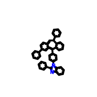 C1=c2ccc(-c3ccccc3)cc2=C(c2ccc(-n3c(-c4ccccc4)nc4ccccc43)cc2)c2ccccc2C1c1ccccc1